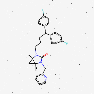 O=C1N(Cc2ccccn2)[C@@H]2C[C@@H]2N1CCCC(c1ccc(F)cc1)c1ccc(F)cc1